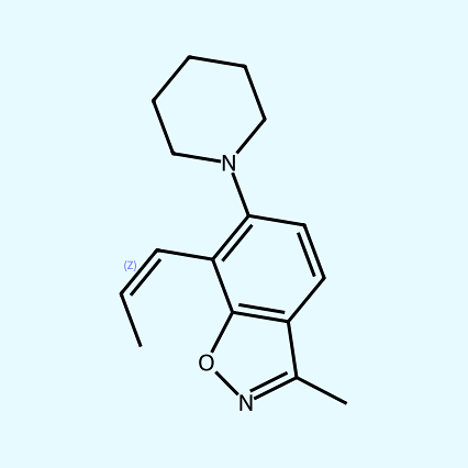 C/C=C\c1c(N2CCCCC2)ccc2c(C)noc12